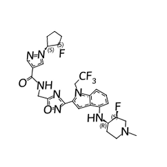 CN1CC[C@@H](Nc2cccc3c2cc(-c2noc(CNC(=O)c4cnn([C@H]5CCC[C@@H]5F)c4)n2)n3CC(F)(F)F)[C@@H](F)C1